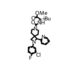 CCC(C)[C@H](NC(=O)N1CCC2(CC1)CN(c1ccc(F)c(Cl)c1)C2c1ccccn1)C(=O)OC